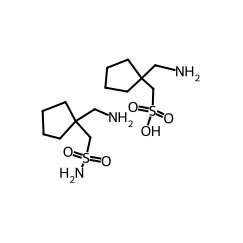 NCC1(CS(=O)(=O)O)CCCC1.NCC1(CS(N)(=O)=O)CCCC1